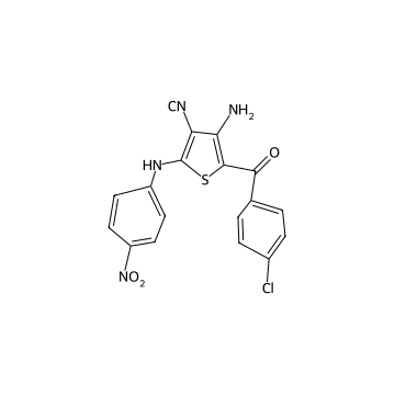 [C-]#[N+]c1c(Nc2ccc([N+](=O)[O-])cc2)sc(C(=O)c2ccc(Cl)cc2)c1N